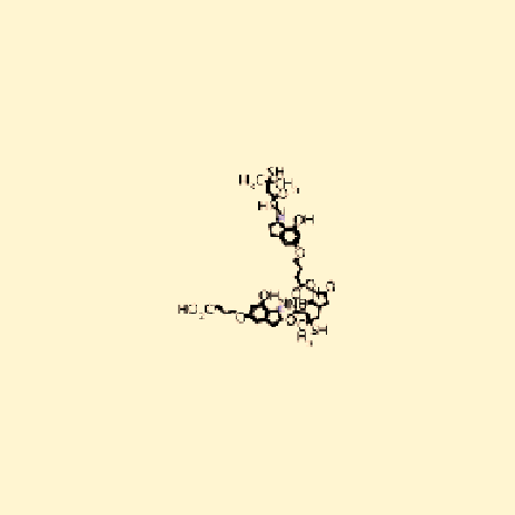 CC(C)(S)CC(=O)N/N=C1\CCc2cc(OCCCC(=O)ON3C(=O)CC(CC(C)(S)CC(=O)N/N=C4\CCc5cc(OCCCC(=O)O)cc(O)c54)C3=O)cc(O)c21